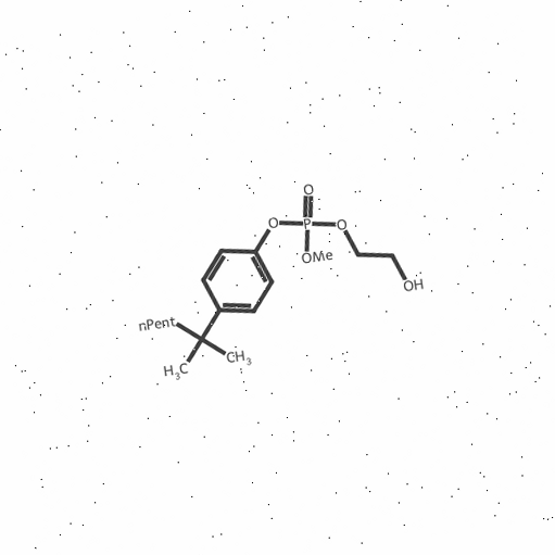 CCCCCC(C)(C)c1ccc(OP(=O)(OC)OCCO)cc1